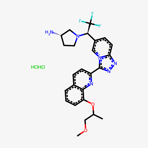 COCC(C)Oc1cccc2ccc(-c3nnc4ccc([C@@H](N5CC[C@H](N)C5)C(F)(F)F)cn34)nc12.Cl.Cl